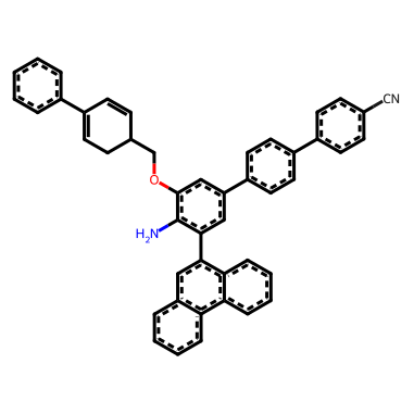 N#Cc1ccc(-c2ccc(-c3cc(OCC4C=CC(c5ccccc5)=CC4)c(N)c(-c4cc5ccccc5c5ccccc45)c3)cc2)cc1